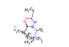 C=CC(=O)NN(C(=O)C(=C)C)C(CC)[N+](C)(C)C.[Cl-]